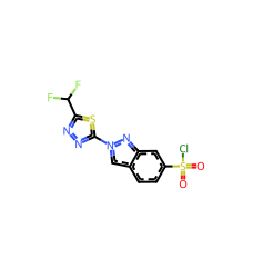 O=S(=O)(Cl)c1ccc2cn(-c3nnc(C(F)F)s3)nc2c1